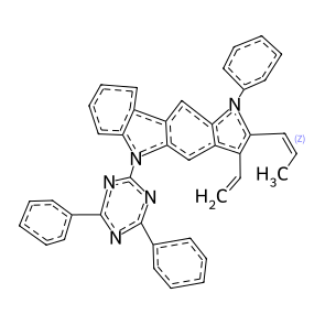 C=Cc1c(/C=C\C)n(-c2ccccc2)c2cc3c4ccccc4n(-c4nc(-c5ccccc5)nc(-c5ccccc5)n4)c3cc12